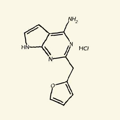 Cl.Nc1nc(Cc2ccco2)nc2[nH]ccc12